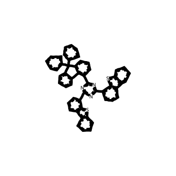 c1ccc(C2(c3ccccc3)c3ccccc3-c3c(-c4nc(-c5cccc6c5sc5ccccc56)nc(-c5cccc6c5sc5ccccc56)n4)cccc32)cc1